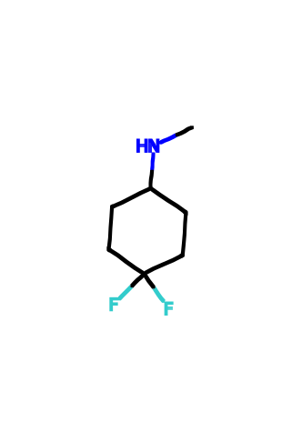 CNC1CCC(F)(F)CC1